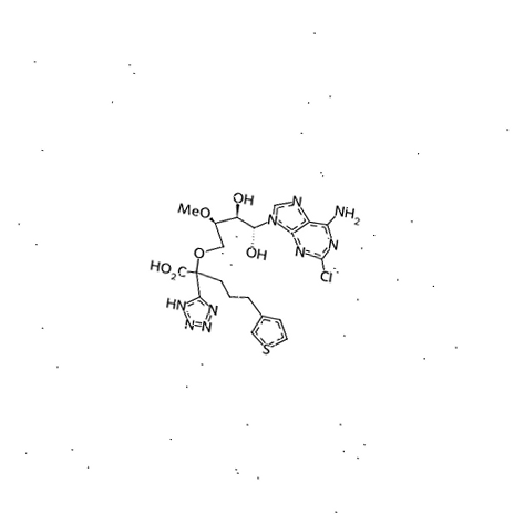 CO[C@H](COC(CCCc1ccsc1)(C(=O)O)c1nnn[nH]1)[C@@H](O)[C@@H](O)n1cnc2c(N)nc(Cl)nc21